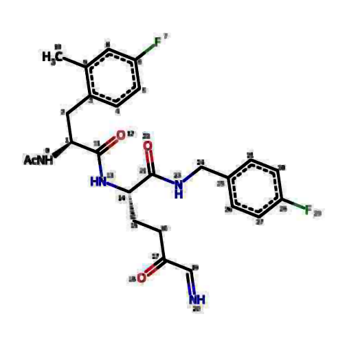 CC(=O)N[C@@H](Cc1ccc(F)cc1C)C(=O)N[C@@H](CCC(=O)C=N)C(=O)NCc1ccc(F)cc1